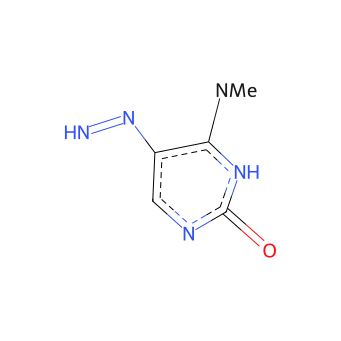 CNc1[nH]c(=O)ncc1N=N